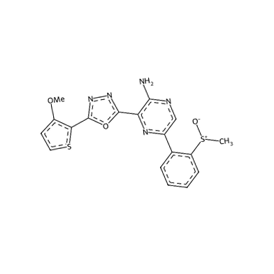 COc1ccsc1-c1nnc(-c2nc(-c3ccccc3[S+](C)[O-])cnc2N)o1